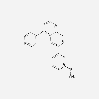 COc1cccc(-c2ccc3nccc(-c4ccncc4)c3c2)n1